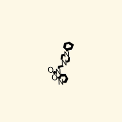 O=c1oc2ncccc2n1CCN1CCN(c2ccccc2)CC1